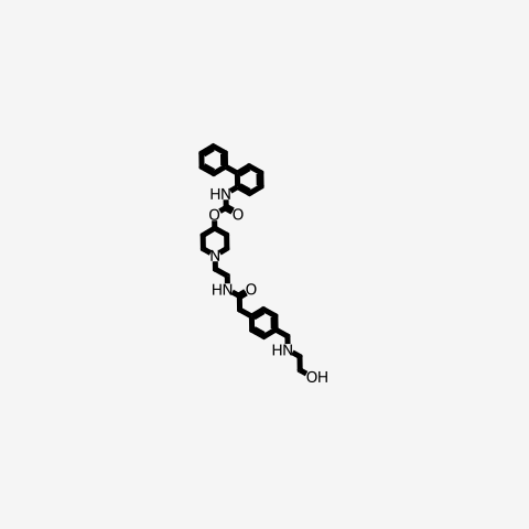 O=C(Cc1ccc(CNCCO)cc1)NCCN1CCC(OC(=O)Nc2ccccc2-c2ccccc2)CC1